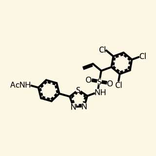 C=CC(c1c(Cl)cc(Cl)cc1Cl)S(=O)(=O)Nc1nnc(-c2ccc(NC(C)=O)cc2)s1